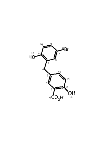 O=C(O)c1cc(Cc2cc(Br)ccc2O)ccc1O